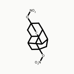 O=[N+]([O-])OC12CC3C4CC5(O[N+](=O)[O-])CC3C(C1)C(C5)C4C2